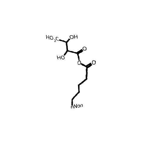 CCCCCCCCCCCCCC(=O)OC(=O)C(O)C(O)C(=O)O